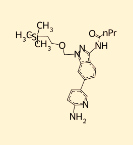 CCCC(=O)Nc1nn(COCC[Si](C)(C)C)c2cc(-c3ccc(N)nc3)ccc12